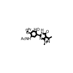 CCCOc1cc(O)c(-c2nc3c(c(C)nn3C)c(=O)[nH]2)cc1NC(C)=O